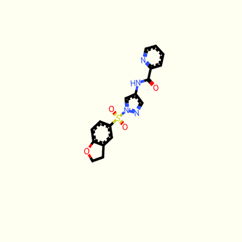 O=C(Nc1cnn(S(=O)(=O)c2ccc3c(c2)CCO3)c1)c1ccccn1